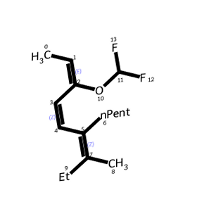 C\C=C(/C=C\C(CCCCC)=C(\C)CC)OC(F)F